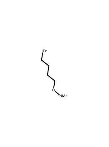 CNOCCCCC(C)C